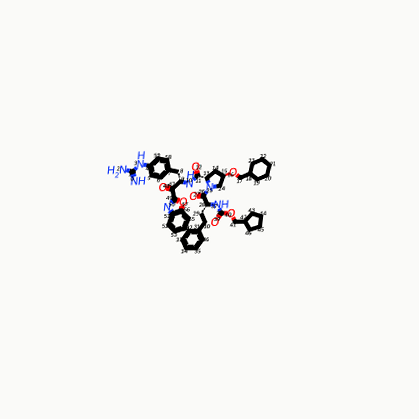 N=C(N)Nc1ccc(C[C@H](NC(=O)[C@@H]2C[C@@H](OCC3CCCCC3)CN2C(=O)[C@@H](CCc2ccccc2)NC(=O)OCC2CCCC2)C(=O)c2nc3ccccc3o2)cc1